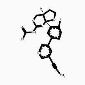 CC#Cc1cncc(-c2ccc(F)c([C@]34N=C(NC(=O)O)SC[C@H]3CCO4)c2)c1